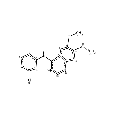 COc1cc2c(Nc3cccc(Cl)c3)ncnc2cc1O[11CH3]